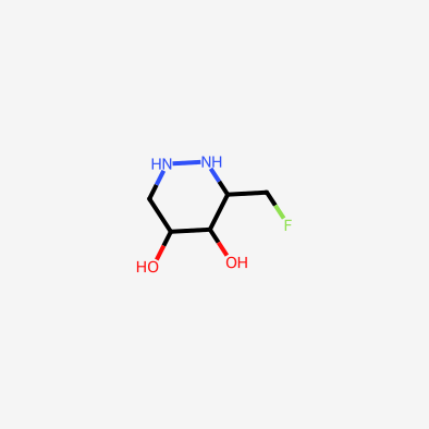 OC1CNNC(CF)C1O